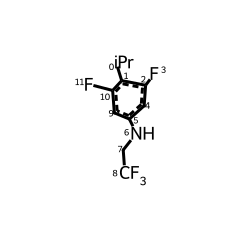 CC(C)c1c(F)cc(NCC(F)(F)F)cc1F